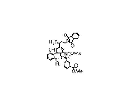 C=C(CCN1C(=O)c2ccccc2C1=O)c1cc(-c2c(C)cccc2C)nc(N(COC)S(=O)(=O)c2cccc(C(=O)OC)c2)n1